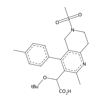 Cc1ccc(-c2c3c(nc(C)c2C(OC(C)(C)C)C(=O)O)CCN(S(C)(=O)=O)C3)cc1